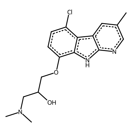 Cc1cnc2[nH]c3c(OCC(O)CN(C)C)ccc(Cl)c3c2c1